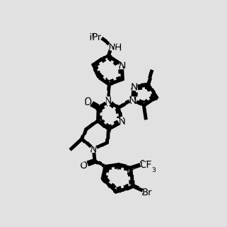 Cc1cc(C)n(-c2nc3c(c(=O)n2-c2ccc(NC(C)C)nc2)CC(C)N(C(=O)c2ccc(Br)c(C(F)(F)F)c2)C3)n1